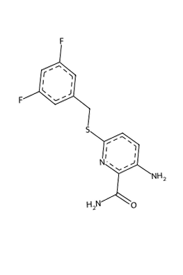 NC(=O)c1nc(SCc2cc(F)cc(F)c2)ccc1N